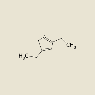 CCC1=[C]CC(CC)=C1